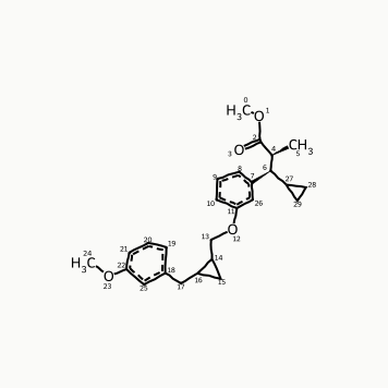 COC(=O)[C@@H](C)[C@H](c1cccc(OCC2CC2Cc2cccc(OC)c2)c1)C1CC1